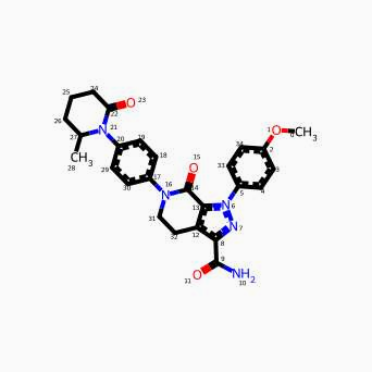 COc1ccc(-n2nc(C(N)=O)c3c2C(=O)N(c2ccc(N4C(=O)CCCC4C)cc2)CC3)cc1